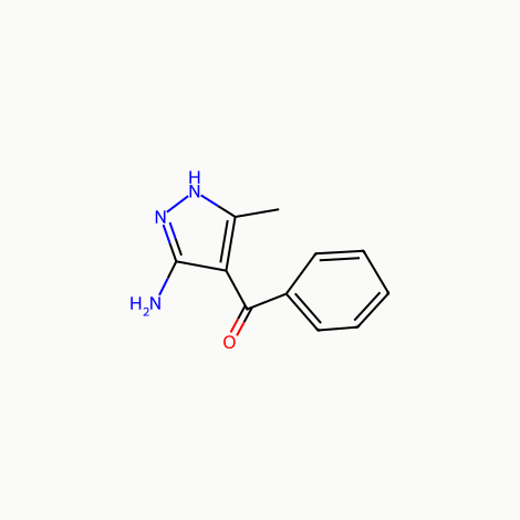 Cc1[nH]nc(N)c1C(=O)c1ccccc1